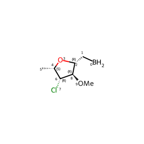 BC[C@H]1O[C@@H](C)[C@@H](Cl)[C@@H]1OC